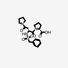 O=C(O)[C@@H]1CCCN1C(=O)[C@@H](CC(=O)N1CCCC1)NS(=O)(=O)Cc1ccccc1